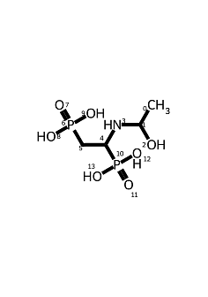 CC(O)NC(CP(=O)(O)O)P(=O)(O)O